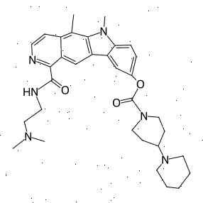 Cc1c2ccnc(C(=O)NCCN(C)C)c2cc2c3cc(OC(=O)N4CCC(N5CCCCC5)CC4)ccc3n(C)c12